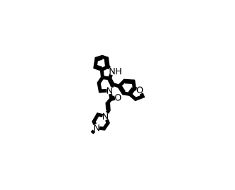 CN1CCN(/C=C/C(=O)N2CCC3C(=C2c2ccc4c(c2)CCO4)Nc2ccccc23)CC1